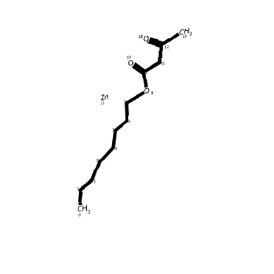 CCCCCCCCOC(=O)CC(C)=O.[Zn]